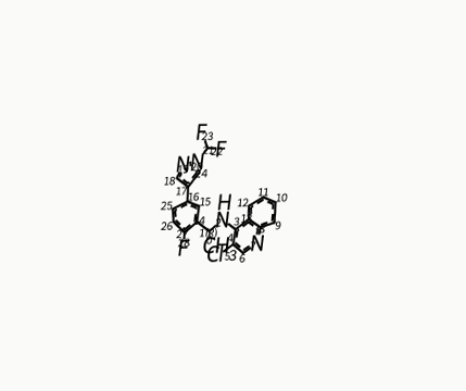 C[C@@H](Nc1c(Cl)cnc2ccccc12)c1cc(-c2cnn(C(F)F)c2)ccc1F